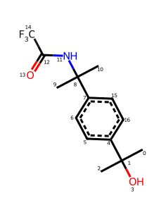 CC(C)(O)c1ccc(C(C)(C)NC(=O)C(F)(F)F)cc1